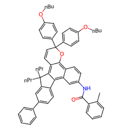 CCCCOc1ccc(C2(c3ccc(OCCCC)cc3)C=Cc3c4c(c5cc(NC(=O)c6ccccc6C)ccc5c3O2)-c2ccc(-c3ccccc3)cc2C4(CCC)CCC)cc1